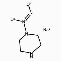 [Na+].[O-]N=[N+]([O-])N1CCNCC1